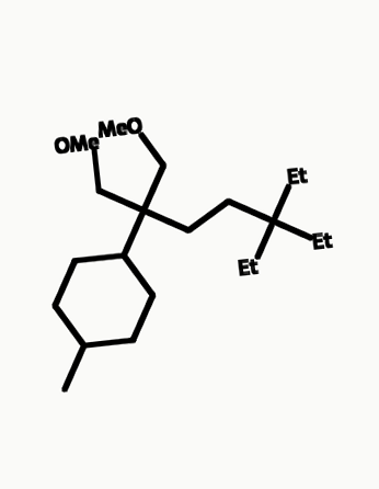 CCC(CC)(CC)CCC(COC)(COC)C1CCC(C)CC1